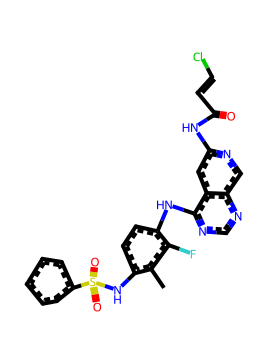 Cc1c(NS(=O)(=O)c2ccccc2)ccc(Nc2ncnc3cnc(NC(=O)C=CCl)cc23)c1F